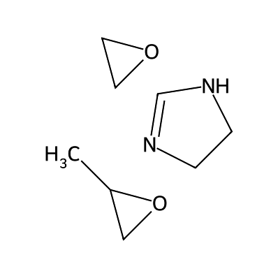 C1=NCCN1.C1CO1.CC1CO1